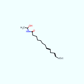 CCCCCCCCC=CCC=CCCCCCCC(=O)NC(C)O